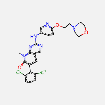 Cn1c(=O)c(-c2c(Cl)cccc2Cl)cc2cnc(Nc3ccc(OCCN4CCOCC4)nc3)nc21